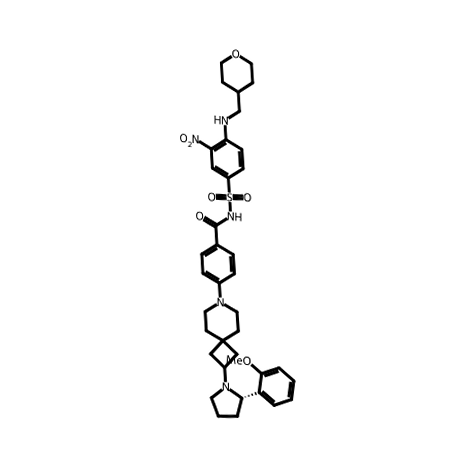 COc1ccccc1[C@@H]1CCCN1C1CC2(CCN(c3ccc(C(=O)NS(=O)(=O)c4ccc(NCC5CCOCC5)c([N+](=O)[O-])c4)cc3)CC2)C1